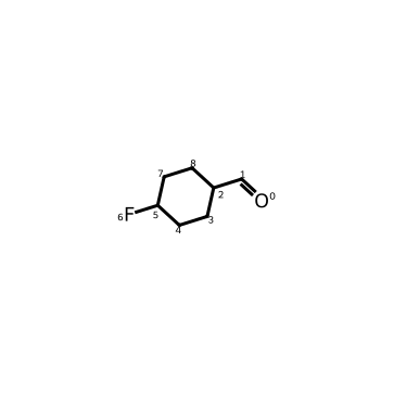 O=CC1CCC(F)CC1